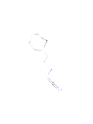 N=C=N[CH]CCN1CCOCC1